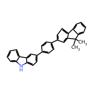 CC1(C)c2ccccc2-c2ccc(-c3ccc(-c4ccc5[nH]c6ccccc6c5c4)cc3)cc21